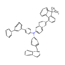 CC1(C)c2ccccc2-c2c(-c3ccc4cc(N(c5ccc(-c6cccc(-c7ccccc7)c6)cc5)c5ccc(-c6cccc7ccccc67)cc5)ccc4c3)cccc21